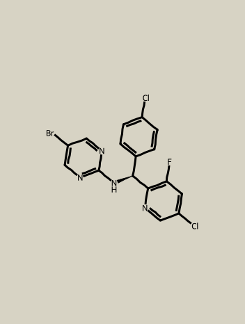 Fc1cc(Cl)cnc1[C@@H](Nc1ncc(Br)cn1)c1ccc(Cl)cc1